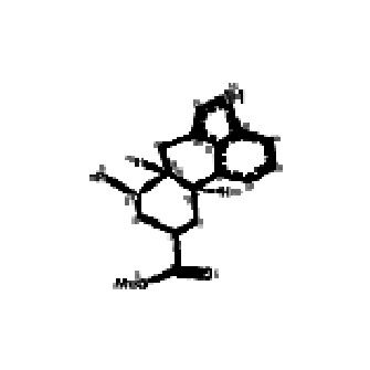 CCCN1CC(C(=O)OC)C[C@@H]2c3cccc4[nH]cc(c34)C[C@H]21